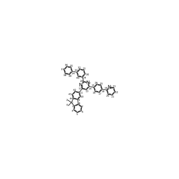 CC1(C)c2ccccc2-c2cc(-c3cc(-c4ccc(-c5ccccn5)cc4)nc(-c4cccc(-c5ccccc5)c4)n3)ccc21